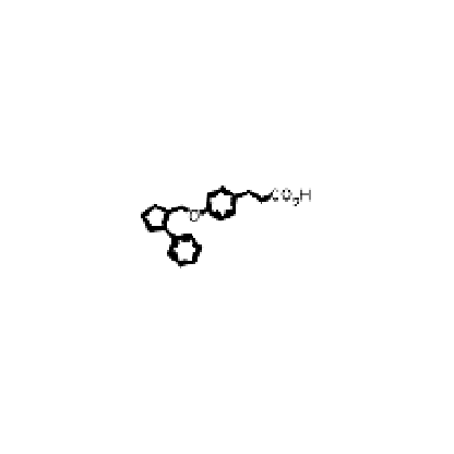 O=C(O)CCc1ccc(OCC2=C(c3ccccc3)CCC2)cc1